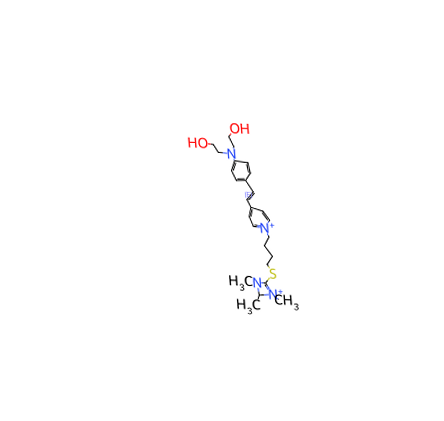 CC1N(C)C(SCCCC[n+]2ccc(/C=C/c3ccc(N(CCO)CCO)cc3)cc2)=[N+]1C